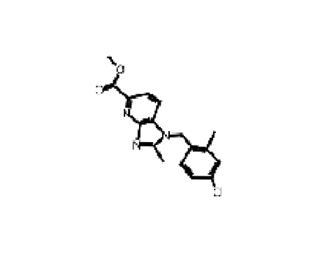 COC(=O)c1ccc2c(n1)nc(C)n2Cc1ccc(Cl)cc1C